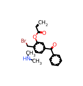 C=CC(=O)Oc1cc(C(=O)c2ccccc2)ccc1CBr.CNC